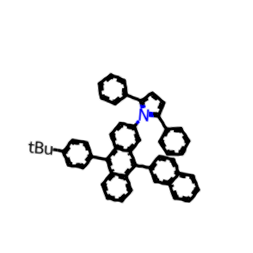 CC(C)(C)c1ccc(-c2c3ccccc3c(-c3ccc4ccccc4c3)c3cc(-n4c(-c5ccccc5)ccc4-c4ccccc4)ccc23)cc1